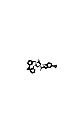 O=C(c1cc2cc(C3CC3)ccc2[nH]1)N1CC(=O)N(Cc2cccc(C3CC3)c2)[C@@H](Cc2ccccc2)C1